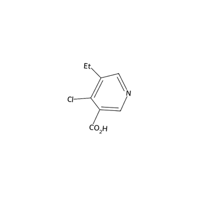 CCc1cncc(C(=O)O)c1Cl